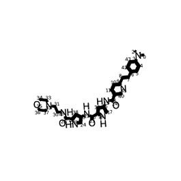 CN(C)c1ccc(/C=C/c2ccc(C(=O)Nc3c[nH]c(C(=O)Nc4c[nH]c(C(=O)NCCN5CCOCC5)c4)c3)cn2)cc1